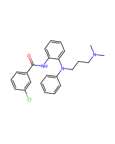 CN(C)CCCN(c1ccccc1)c1ccccc1NC(=O)c1cccc(Cl)c1